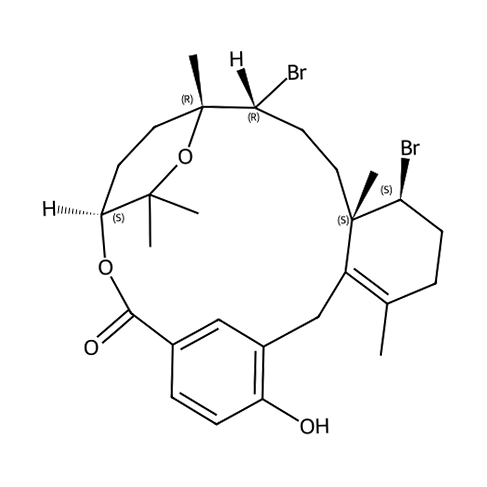 CC1=C2Cc3cc(ccc3O)C(=O)O[C@H]3CC[C@@](C)(OC3(C)C)[C@H](Br)CC[C@]2(C)[C@@H](Br)CC1